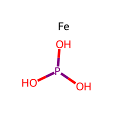 OP(O)O.[Fe]